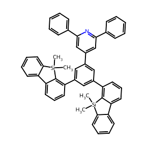 C[Si]1(C)c2ccccc2-c2cccc(-c3cc(-c4cc(-c5ccccc5)nc(-c5ccccc5)c4)cc(-c4cccc5c4[Si](C)(C)c4ccccc4-5)c3)c21